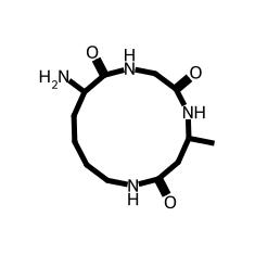 CC1CC(=O)NCCCCC(N)C(=O)NCC(=O)N1